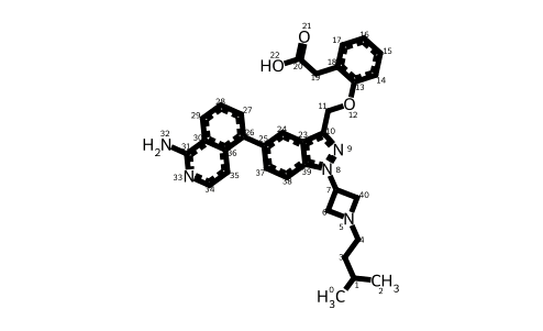 CC(C)CCN1CC(n2nc(COc3ccccc3CC(=O)O)c3cc(-c4cccc5c(N)nccc45)ccc32)C1